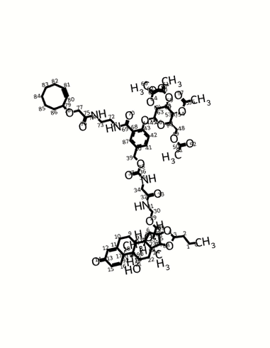 CCCC1O[C@@H]2C[C@H]3[C@@H]4CCC5=CC(=O)C=C[C@]5(C)[C@H]4[C@@H](O)C[C@]3(C)[C@]2(C(=O)COCNC(=O)CNC(=O)OCc2ccc(O[C@@H]3O[C@H](COC(C)=O)[C@@H](OC(C)=O)[C@H](OC(C)=O)[C@H]3OC(C)=O)c(C(=O)NCCNC(=O)COC3C#CCCCCC3)c2)O1